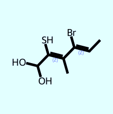 C/C=C(Br)/C(C)=C(\S)C(O)O